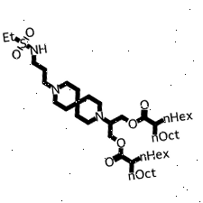 CCCCCCCCC(CCCCCC)C(=O)OCC(COC(=O)C(CCCCCC)CCCCCCCC)N1CCC2(CCN(CCCNS(=O)(=O)CC)CC2)CC1